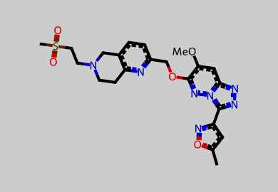 COc1cc2nnc(-c3cc(C)on3)n2nc1OCc1ccc2c(n1)CCN(CCS(C)(=O)=O)C2